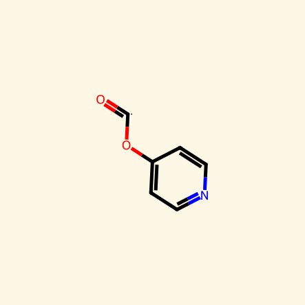 O=[C]Oc1ccncc1